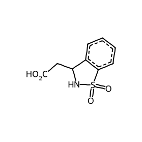 O=C(O)CC1NS(=O)(=O)c2ccccc21